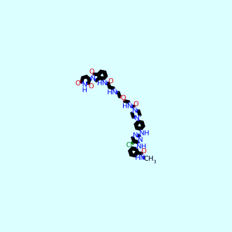 CNC(=O)c1ccccc1Nc1nc(Nc2ccc(N3CCN(C(=O)NCCOCCNCCC(=O)Nc4cccc5c4CN(C4CCC(=O)NC4=O)C5=O)CC3)cc2)ncc1Cl